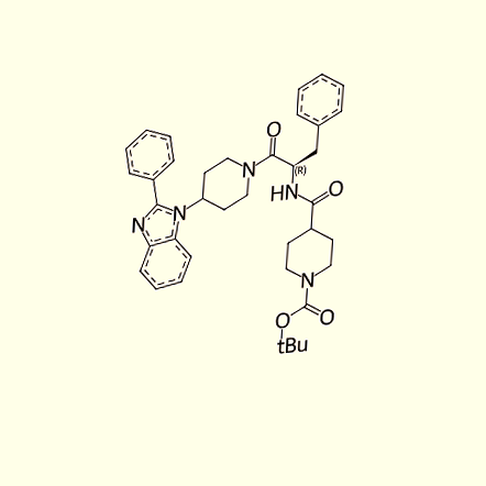 CC(C)(C)OC(=O)N1CCC(C(=O)N[C@H](Cc2ccccc2)C(=O)N2CCC(n3c(-c4ccccc4)nc4ccccc43)CC2)CC1